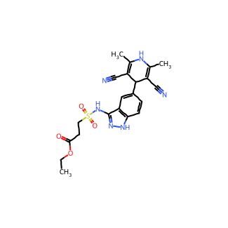 CCOC(=O)CCS(=O)(=O)Nc1n[nH]c2ccc(C3C(C#N)=C(C)NC(C)=C3C#N)cc12